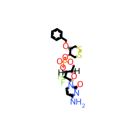 Nc1ccn([C@@H]2O[C@@H]3COP(=O)(OC4CSSC[C@@H]4OCc4ccccc4)O[C@H]3C2(F)F)c(=O)n1